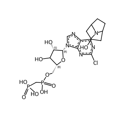 O=P(O)(O)CP(=O)(O)OC[C@H]1O[C@@H](n2cnc3c(N4C5CCC4CC(O)C5)nc(Cl)nc32)[C@@H](O)C1O